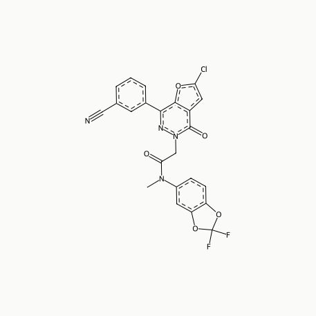 CN(C(=O)Cn1nc(-c2cccc(C#N)c2)c2oc(Cl)cc2c1=O)c1ccc2c(c1)OC(F)(F)O2